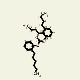 CCCCCCc1ccccc1OC(=O)Oc1cccc(CCCC)c1CCCC